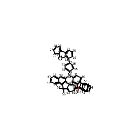 CC1(C)c2ccccc2-c2ccc(N(c3ccc(-c4cccc5c4oc4ccccc45)cc3)c3cc4ccccc4c4c3-c3cc(-c5ccccc5)ccc3C4(C)C)cc21